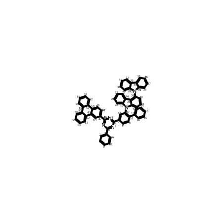 c1ccc(-c2nc(-c3ccc(-c4ccccc4)c(-n4c5ccccc5c5c(-n6c7ccccc7c7ccccc76)cccc54)c3)nc(-c3ccc4c5ccccc5c5ccccc5c4c3)n2)cc1